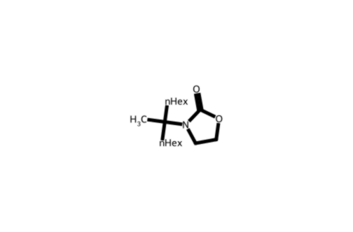 CCCCCCC(C)(CCCCCC)N1CCOC1=O